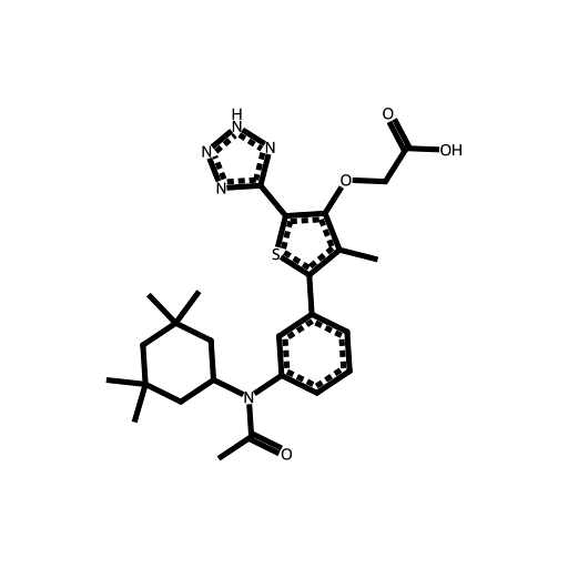 CC(=O)N(c1cccc(-c2sc(-c3nn[nH]n3)c(OCC(=O)O)c2C)c1)C1CC(C)(C)CC(C)(C)C1